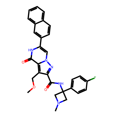 COCc1c(C(=O)NC2(c3ccc(F)cc3)CN(C)C2)nn2cc(-c3ccc4ccccc4c3)[nH]c(=O)c12